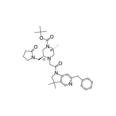 C[C@@H]1CN(CC(=O)N2CC(C)(C)c3cnc(Cc4ccccc4)cc32)[C@@H](CN2CCCC2=O)CN1C(=O)OC(C)(C)C